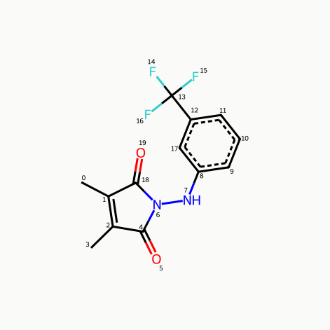 CC1=C(C)C(=O)N(Nc2cccc(C(F)(F)F)c2)C1=O